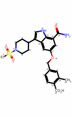 CCS(=O)(=O)N1CCC(c2c[nH]c3c(C(N)=O)cc(OCc4ccc(C(=O)O)c(C)c4)cc23)CC1